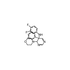 Fc1ccc(NC2(c3cncnc3)C=NC=NC2N2CCOCC2)cc1F